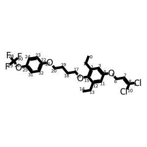 CCc1cc(OCC=C(Cl)Cl)cc(CC)c1OCCCCOc1ccc(OC(F)(F)F)cc1